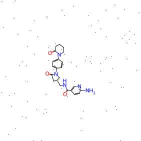 Nc1ccc(C(=O)NCC2CC(=O)N(c3ccc(N4CCCCC4=O)cc3)C2)cn1